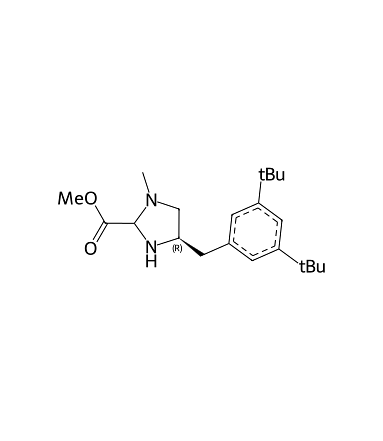 COC(=O)C1N[C@H](Cc2cc(C(C)(C)C)cc(C(C)(C)C)c2)CN1C